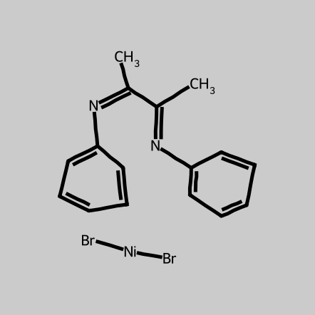 CC(=Nc1ccccc1)C(C)=Nc1ccccc1.[Br][Ni][Br]